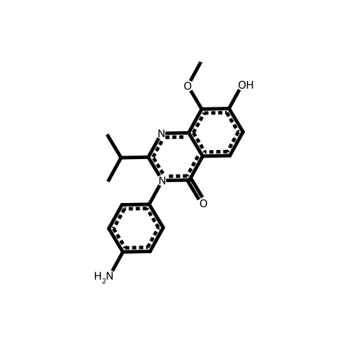 COc1c(O)ccc2c(=O)n(-c3ccc(N)cc3)c(C(C)C)nc12